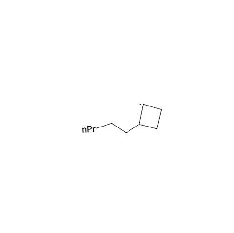 CCCCCC1[CH]CC1